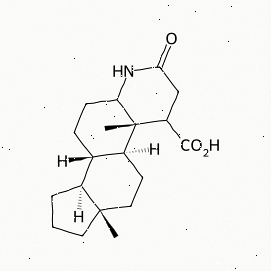 C[C@@]12CCC[C@H]1[C@@H]1CCC3NC(=O)CC(C(=O)O)[C@]3(C)[C@H]1CC2